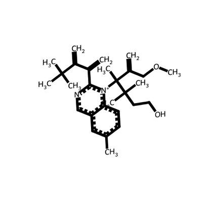 C=C(C(=C)C(C)(C)C)c1ncc2cc(C)ccc2[n+]1C(C)(C(=C)COC)C(C)(C)CCO